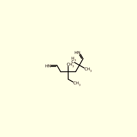 CCC(C)(CC=N)CC(C)(C)C=N